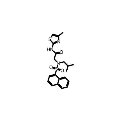 Cc1csc(NC(=O)CN(CC(C)C)S(=O)(=O)c2cccc3ccccc23)n1